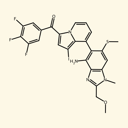 COCc1nc2c(N)c(-c3cccn4c(C(=O)c5cc(F)c(F)c(F)c5)cc(I)c34)c(SC)cc2n1C